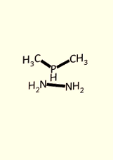 CPC.NN